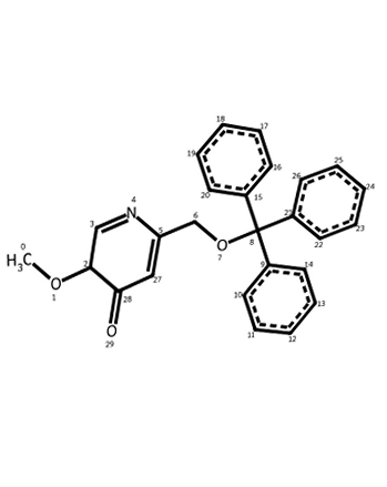 COC1C=NC(COC(c2ccccc2)(c2ccccc2)c2ccccc2)=CC1=O